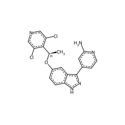 C[C@@H](Oc1ccc2[nH]nc(-c3ccnc(N)c3)c2c1)c1c(Cl)cncc1Cl